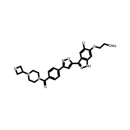 COCCOc1cc2[nH]nc(-c3cc(-c4ccc(C(=O)N5CCN(C6COC6)CC5)cc4)no3)c2cc1Cl